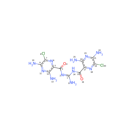 NC(=NC(=O)c1nc(Cl)c(N)nc1N)NC(=O)c1nc(Cl)c(N)nc1N